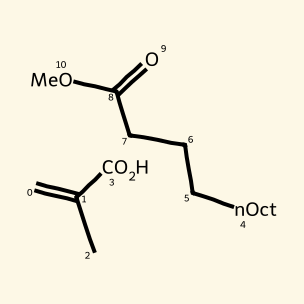 C=C(C)C(=O)O.CCCCCCCCCCCC(=O)OC